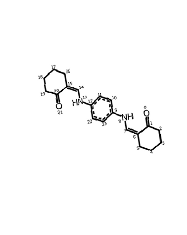 O=C1CCCCC1=CNc1ccc(NC=C2CCCCC2=O)cc1